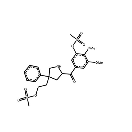 COc1cc(C(=O)C2CC(CCOS(C)(=O)=O)(c3ccccc3)CN2)cc(OS(C)(=O)=O)c1OC